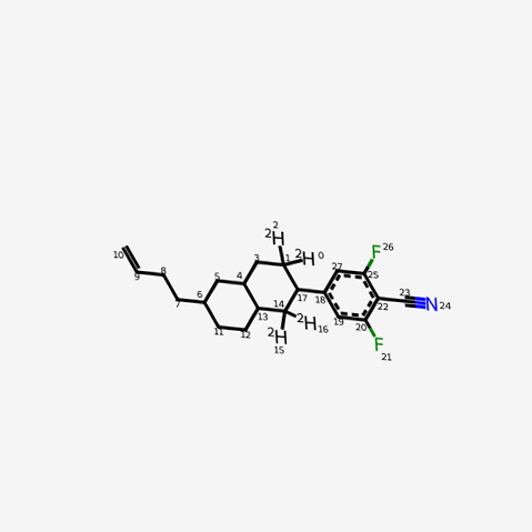 [2H]C1([2H])CC2CC(CCC=C)CCC2C([2H])([2H])C1c1cc(F)c(C#N)c(F)c1